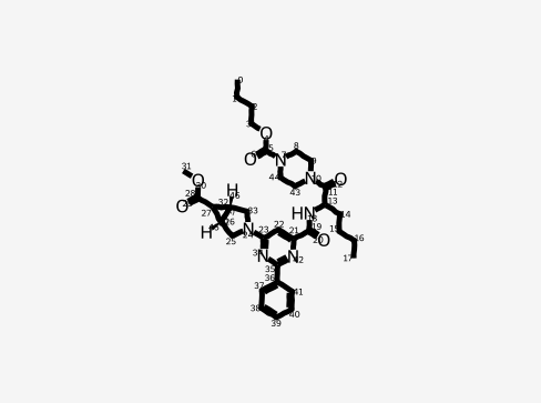 CCCCOC(=O)N1CCN(C(=O)C(CCCC)NC(=O)c2cc(N3C[C@@H]4C(C(=O)OC)[C@@H]4C3)nc(-c3ccccc3)n2)CC1